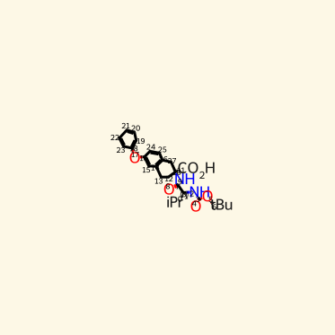 CC(C)[C@H](NC(=O)OC(C)(C)C)C(=O)NC1(C(=O)O)CCc2cc(Oc3ccccc3)ccc2C1